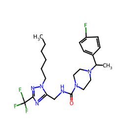 CCCCCCn1nc(C(F)(F)F)nc1CNC(=O)N1CCN(C(C)c2ccc(F)cc2)CC1